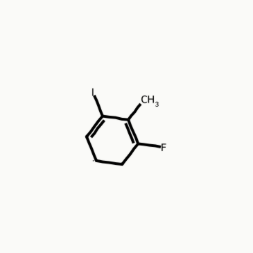 CC1=C(F)C[CH]C=C1I